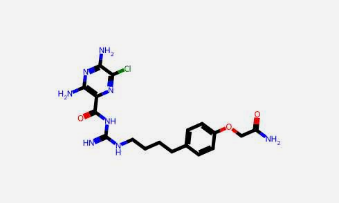 N=C(NCCCCc1ccc(OCC(N)=O)cc1)NC(=O)c1nc(Cl)c(N)nc1N